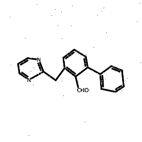 O=[C]c1c(Cc2ncccn2)cccc1-c1ccccc1